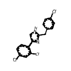 Clc1ccc(Cc2nc(-c3ccc(Cl)cc3Cl)c[nH]2)cc1